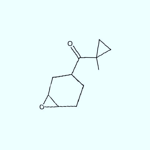 CC1(C(=O)C2CCC3OC3C2)CC1